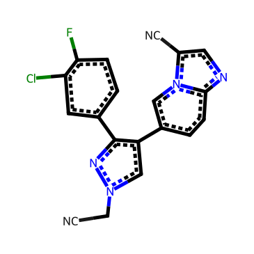 N#CCn1cc(-c2ccc3ncc(C#N)n3c2)c(-c2ccc(F)c(Cl)c2)n1